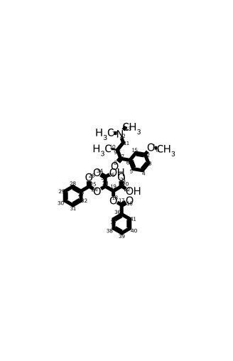 COc1cccc(C(=O)[C@@H](C)CN(C)C)c1.O=C(OC(C(=O)O)C(OC(=O)c1ccccc1)C(=O)O)c1ccccc1